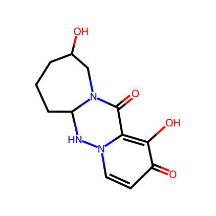 O=C1c2c(O)c(=O)ccn2NC2CCCC(O)CN12